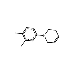 Cc1ccc(N2CC=CCC2)cc1C